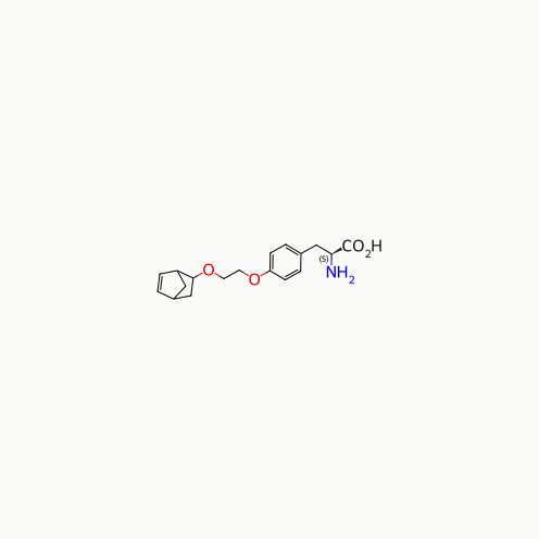 N[C@@H](Cc1ccc(OCCOC2CC3C=CC2C3)cc1)C(=O)O